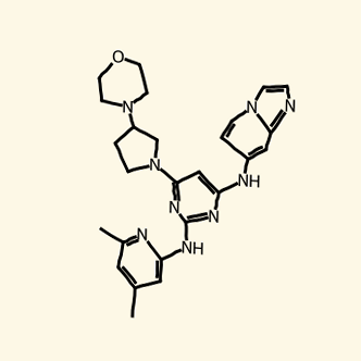 Cc1cc(C)nc(Nc2nc(Nc3ccn4ccnc4c3)cc(N3CCC(N4CCOCC4)C3)n2)c1